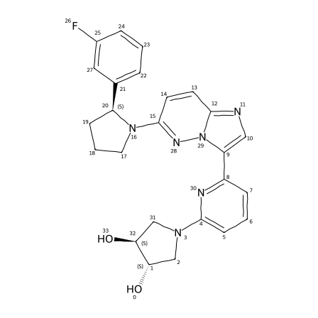 O[C@H]1CN(c2cccc(-c3cnc4ccc(N5CCC[C@H]5c5cccc(F)c5)nn34)n2)C[C@@H]1O